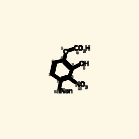 CCCCCCCCCc1ccc(OC(=O)O)c(O)c1[N+](=O)[O-]